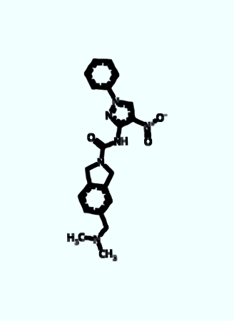 CN(C)Cc1ccc2c(c1)CN(C(=O)Nc1nn(-c3ccccc3)cc1[N+](=O)[O-])C2